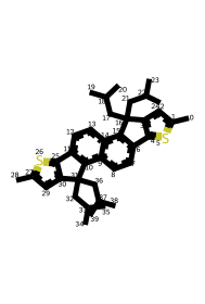 Cc1cc2c(s1)-c1ccc3c4c(ccc3c1C2(CC(C)C)CC(C)C)-c1sc(C)cc1C4(CC(C)C)CC(C)C